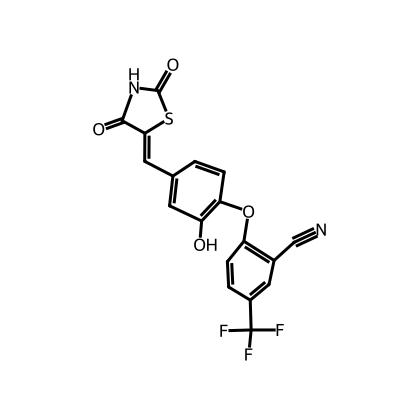 N#Cc1cc(C(F)(F)F)ccc1Oc1ccc(/C=C2\SC(=O)NC2=O)cc1O